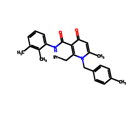 Cc1ccc(Cn2c(C)cc(=O)c(C(=O)Nc3cccc(C)c3C)c2CC(C)C)cc1